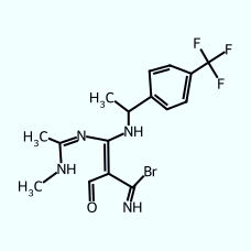 CN/C(C)=N\C(NC(C)c1ccc(C(F)(F)F)cc1)=C(/C=O)C(=N)Br